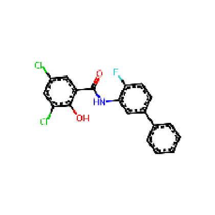 O=C(Nc1cc(-c2ccccc2)ccc1F)c1cc(Cl)cc(Cl)c1O